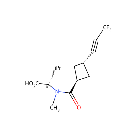 CC(C)[C@@H](C(=O)O)N(C)C(=O)[C@H]1C[C@H](C#CC(F)(F)F)C1